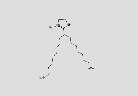 CCCCCCCCCCCCCCCCCCC(CCCCCCCCCCCCCCCCC)c1[nH]cc[n+]1CCC